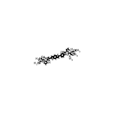 COC(=O)N[C@H](C(=O)N1CCC[C@H]1c1ncc(-c2cc3cc4sc(-c5ccc6nc([C@@H]7CCCN7C(=O)[C@@H](NC(=O)OC)C(C)C)[nH]c6c5)cc4cc3s2)[nH]1)C(C)C